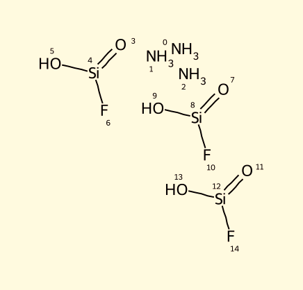 N.N.N.O=[Si](O)F.O=[Si](O)F.O=[Si](O)F